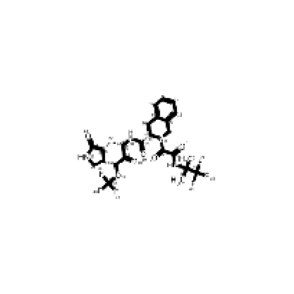 CC(C)(NC(=O)C(=O)N1Cc2ccccc2C[C@H]1C(=O)N[C@@H](C[C@@H]1CCNC1=O)C(=O)COC(F)(F)F)C(F)(F)F